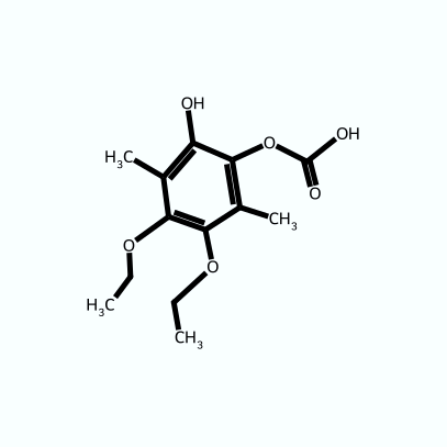 CCOc1c(C)c(O)c(OC(=O)O)c(C)c1OCC